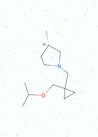 CC(C)OCC1(CN2CC[C@H](C)C2)CC1